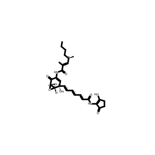 CCCC[C@@H](C)/C=C(\C)C(=O)NC1=C[C@@](O)(/C=C/C=C/C=C/C(=O)NC2=C(O)CCC2=O)[C@@H]2O[C@@H]2C1=O